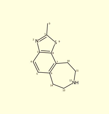 Cc1nc2ccc3c(c2s1)CCNCC3